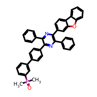 CP(C)(=O)c1cccc(-c2ccc(-c3nc(-c4ccccc4)c(-c4ccc5c(c4)oc4ccccc45)nc3-c3ccccc3)cc2)c1